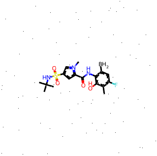 Bc1cc(F)c(C)c(O)c1NC(=O)c1cc(S(=O)(=O)NC(C)(C)C)cn1C